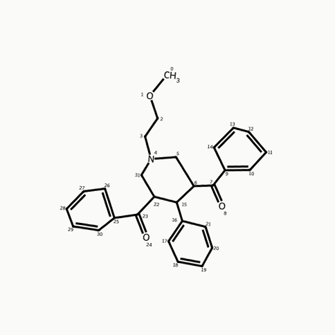 COCCN1CC(C(=O)c2ccccc2)C(c2ccccc2)C(C(=O)c2ccccc2)C1